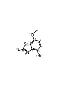 COc1ccc(Br)c2nc(C)sc12